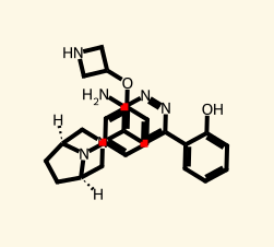 Nc1nnc(-c2ccccc2O)cc1N1C[C@H]2CC[C@@H](C1)N2c1cccc(OC2CNC2)c1